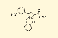 COC(=O)c1cc(-c2cccc(O)c2)n(Cc2ccccc2Cl)n1